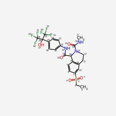 CCS(=O)(=O)c1ccc2c(c1)CCN(C(=O)NC)C2C(=O)Nc1ccc(C(O)(C(F)(F)F)C(F)(F)F)cc1